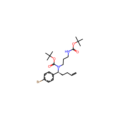 C=CCC[C@@H](c1ccc(Br)cc1)N(CCCNC(=O)OC(C)(C)C)C(=O)OC(C)(C)C